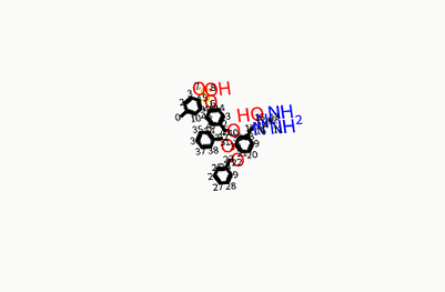 Cc1ccc(S(=O)(=O)O)cc1.N=C(N)N(O)/N=C/c1ccc(OCc2ccccc2)c(OCc2ccccc2)c1OCc1ccccc1